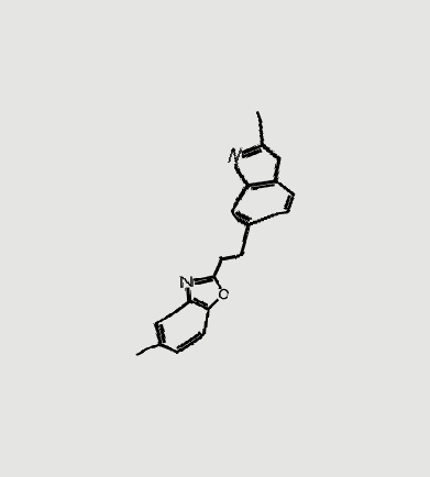 CC1=Nc2cc(CCc3nc4cc(C)ccc4o3)ccc2C1